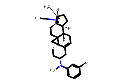 CC(=O)c1cccc(N(C)[C@H]2CC[C@]34CC35CC[C@]36CN(C)[C@@H](C)[C@H]3CC[C@H]6[C@@H]5CC=C4C2)c1